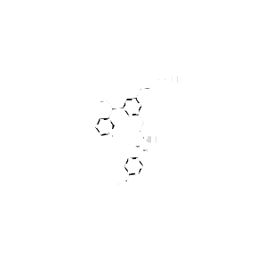 O=C(O)CCc1cc(CCNS(=O)(=O)c2ccc(Cl)cc2)cc(C(CO)c2cccnc2)c1